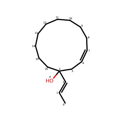 C/C=C/C1(O)C/C=C\CCCCCCCCC1